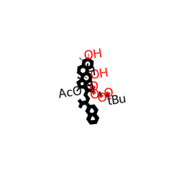 CC(=O)O[C@H]1C[C@@]2(C)[C@H](C[C@@H](O)[C@@H]3[C@@]4(C)CC[C@@H](O)[C@@H](C)C4CC[C@@]32C)C1=C(CCC(=C(C)C)c1ccc2ccccc2c1)C(=O)OCOC(=O)C(C)(C)C